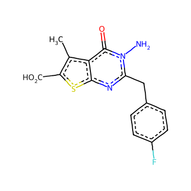 Cc1c(C(=O)O)sc2nc(Cc3ccc(F)cc3)n(N)c(=O)c12